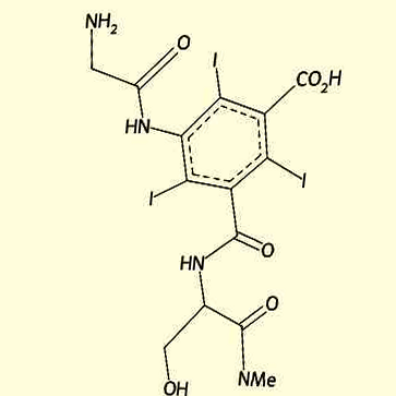 CNC(=O)C(CO)NC(=O)c1c(I)c(NC(=O)CN)c(I)c(C(=O)O)c1I